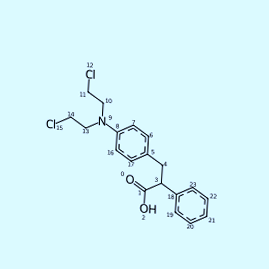 O=C(O)C(Cc1ccc(N(CCCl)CCCl)cc1)c1ccccc1